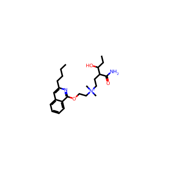 CCCCc1cc2ccccc2c(OCC[N+](C)(C)CCC(C(N)=O)C(O)CC)n1